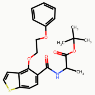 CC(NC(=O)c1ccc2sccc2c1OCCOc1ccccc1)C(=O)OC(C)(C)C